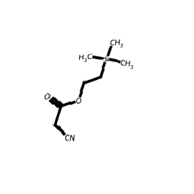 C[Si](C)(C)CCOC(=O)CC#N